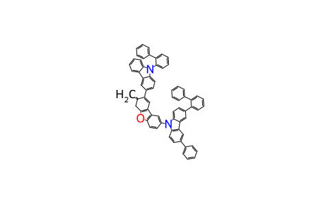 C=C1Cc2oc3ccc(-n4c5ccc(-c6ccccc6)cc5c5cc(-c6ccccc6-c6ccccc6)ccc54)cc3c2C=C1c1ccc2c(c1)c1ccccc1n2-c1ccccc1-c1ccccc1